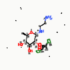 C[C@H]1O[C@H](NCCN)[C@H](O)[C@@H](O)[C@@H]1O.[Cl][Pt][Cl]